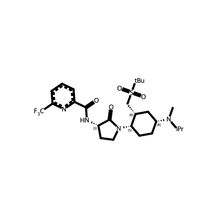 CC(C)N(C)[C@@H]1CC[C@H](N2CC[C@H](NC(=O)c3cccc(C(F)(F)F)n3)C2=O)[C@H](CS(=O)(=O)C(C)(C)C)C1